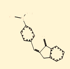 CCCCN(CCCC)c1ccc(C=C2Cc3ccccc3C2=O)cc1